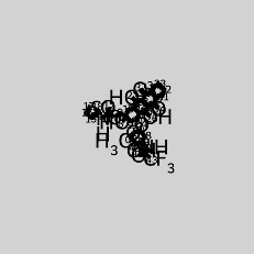 C[C@H]1O[C@@H](O[C@H]2CC(O)(COC(=O)Nc3cccs3)Cc3c(O)c4c(c(O)c32)C(=O)c2ccccc2C4=O)C[C@H](NC(=O)C(F)(F)F)[C@H]1O